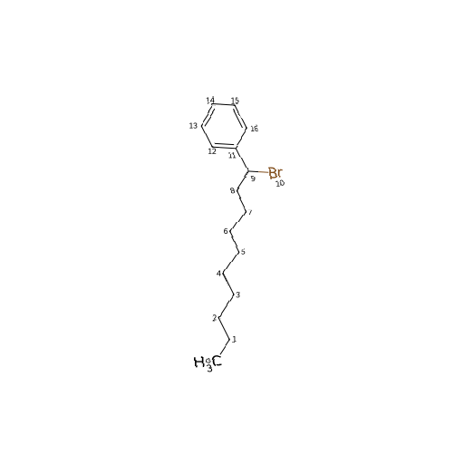 CCCCCCCCCC(Br)c1ccccc1